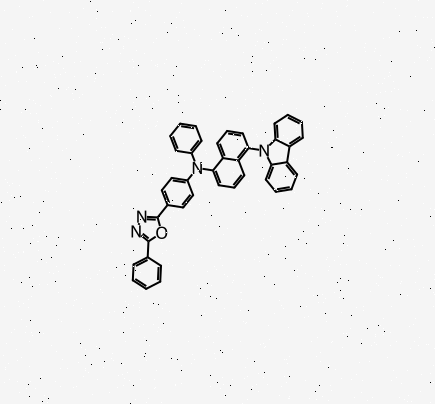 c1ccc(-c2nnc(-c3ccc(N(c4ccccc4)c4cccc5c(-n6c7ccccc7c7ccccc76)cccc45)cc3)o2)cc1